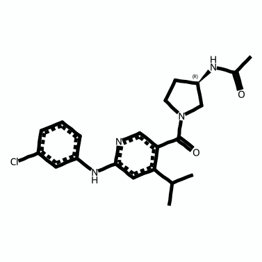 CC(=O)N[C@@H]1CCN(C(=O)c2cnc(Nc3cccc(Cl)c3)cc2C(C)C)C1